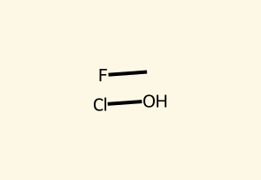 CF.OCl